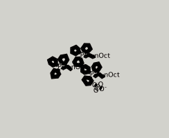 CCCCCCCCC=CC[P+](c1ccccc1)(c1ccccc1)c1ccccc1.CCCCCCCCC=CC[P+](c1ccccc1)(c1ccccc1)c1ccccc1.CCCCCCCCC=CC[P+](c1ccccc1)(c1ccccc1)c1ccccc1.O=P([O-])([O-])[O-]